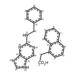 O=C(O)Cc1cccc2ccccc12.c1ccc(CNc2ncc3[nH]cnc3n2)cc1